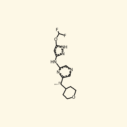 C[C@H](c1cncc(Nc2cc(OC(F)F)[nH]n2)n1)C1CCOCC1